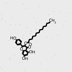 CCCCCCCCCCCCCC(=O)Oc1c(-c2ccc(O)cc2)oc2cc(O)cc(O)c2c1=O